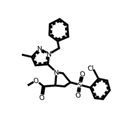 COC(=O)C1CC(S(=O)(=O)c2ccccc2Cl)CN1c1cc(C)nn1Cc1ccccc1